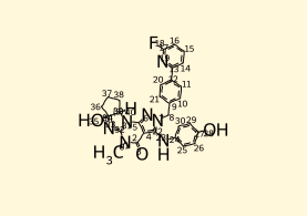 CN1C(=O)c2c(nn(Cc3ccc(-c4cccc(F)n4)cc3)c2Nc2ccc(O)cc2)N2C1=N[C@]1(O)CCC[C@H]21